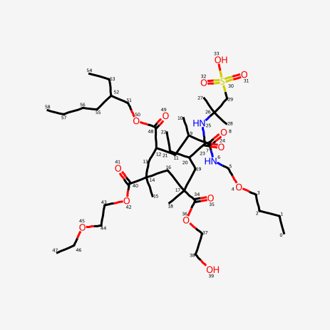 CCCCOCNC(=O)C(C)CC(CC(C)(CC(C)(CC(CC)C(=O)NC(C)(C)CS(=O)(=O)O)C(=O)OCCO)C(=O)OCCOCC)C(=O)OCC(CC)CCCC